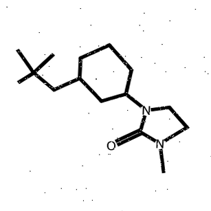 CN1CCN(C2CCCC(CC(C)(C)C)C2)C1=O